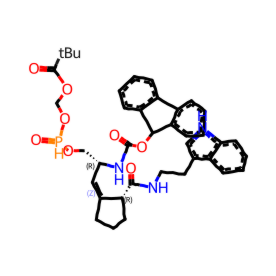 CC(C)(C)C(=O)OCO[PH](=O)OC[C@@H](/C=C1/CCC[C@H]1C(=O)NCCc1c[nH]c2ccccc12)NC(=O)OC1c2ccccc2-c2ccccc21